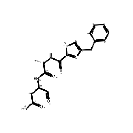 C[C@H](NC(=O)c1nc(Cc2ccccc2)c[nH]1)C(=O)NC(C=O)CC(=O)O